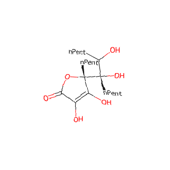 CCCCCC(O)[C@@](O)(CCCCC)[C@@]1(CCCCC)OC(=O)C(O)=C1O